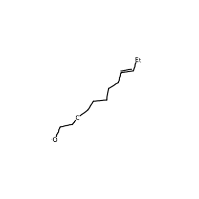 CC/C=C/CCCCCCCC[O]